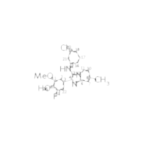 COc1cc(-c2nc3cc(C)ccn3c2Nc2cccc(Cl)c2)cc(F)c1O